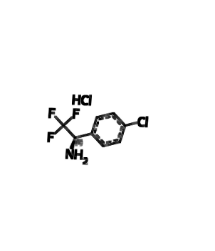 Cl.N[C@H](c1ccc(Cl)cc1)C(F)(F)F